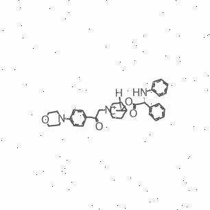 O=C(C[N+]12CCC(CC1)[C@@H](OC(=O)[C@H](Nc1ccccc1)c1ccccc1)C2)c1ccc(N2CCOCC2)cc1